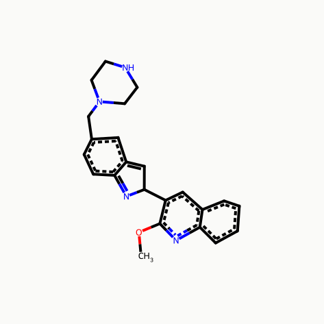 COc1nc2ccccc2cc1C1C=c2cc(CN3CCNCC3)ccc2=N1